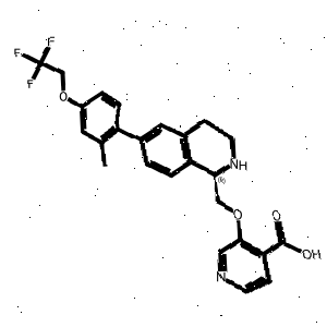 Cc1cc(OCC(F)(F)F)ccc1-c1ccc2c(c1)CCN[C@H]2COc1cnccc1C(=O)O